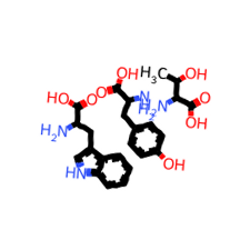 CC(O)C(N)C(=O)O.NC(Cc1c[nH]c2ccccc12)C(=O)O.NC(Cc1ccc(O)cc1)C(=O)O